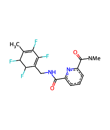 CNC(=O)c1cccc(C(=O)NCC2=C(F)C(F)=C(C)C(F)C2F)n1